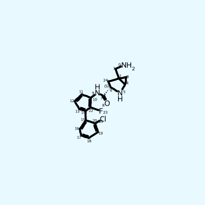 NCC12CC1N[C@H](C(=O)Nc1cccc(-c3ccccc3Cl)c1F)C2